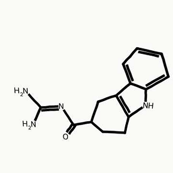 NC(N)=NC(=O)C1CCc2[nH]c3ccccc3c2C1